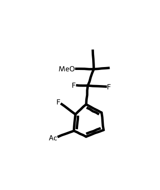 COC(C)(C)C(F)(F)c1cccc(C(C)=O)c1F